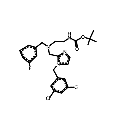 CC(C)(C)OC(=O)NCCN(Cc1cccc(F)c1)Cc1nccn1Cc1cc(Cl)cc(Cl)c1